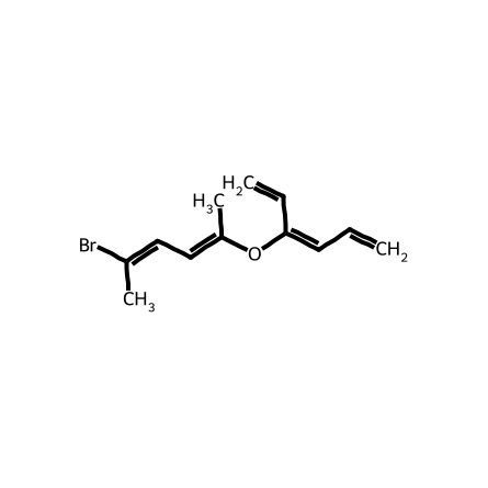 C=C/C=C(\C=C)O/C(C)=C/C=C(\C)Br